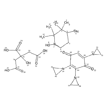 CC1(C)C(O)CCN(O)C1(C)C.O=C(O)CC(O)(CC(=O)O)C(=O)O.O=C1C=C(N2CC2)C(=O)C(N2CC2)=C1N1CC1